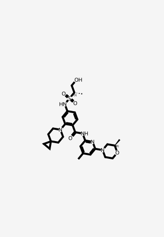 Cc1cc(NC(=O)c2ccc(NS(=O)(=O)[C@@H](C)CO)cc2N2CCC3(CC2)CC3)nc(N2CCO[C@H](C)C2)c1